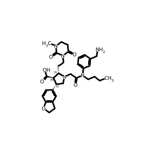 CCCCN(C(=O)CN1C[C@H](c2ccc3c(c2)CCO3)[C@@H](C(=O)O)[C@@H]1CCN1C(=O)CCN(C)C1=O)c1cccc(CN)c1